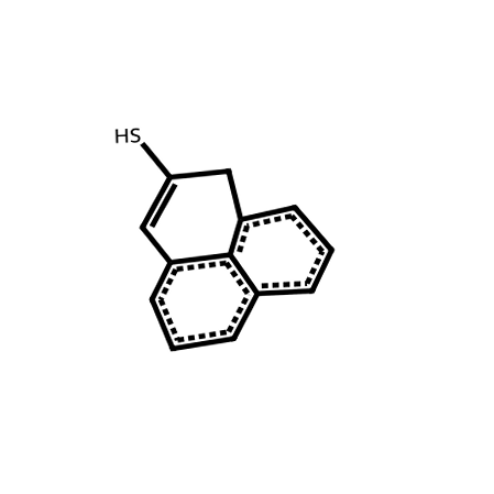 SC1=Cc2cccc3cccc(c23)C1